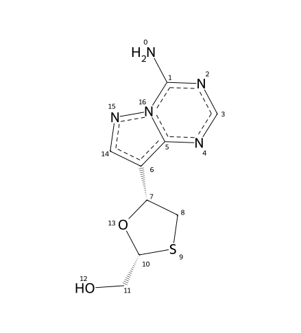 Nc1ncnc2c([C@@H]3CS[C@H](CO)O3)cnn12